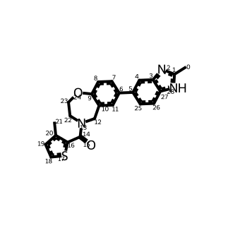 Cc1nc2cc(-c3ccc4c(c3)CN(C(=O)c3sccc3C)CCO4)ccc2[nH]1